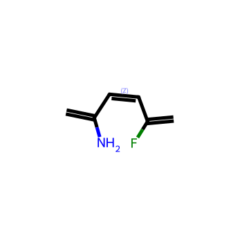 C=C(N)/C=C\C(=C)F